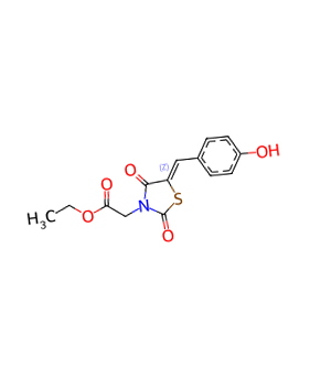 CCOC(=O)CN1C(=O)S/C(=C\c2ccc(O)cc2)C1=O